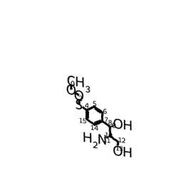 COOSc1ccc([C@@H](O)[C@H](N)CO)cc1